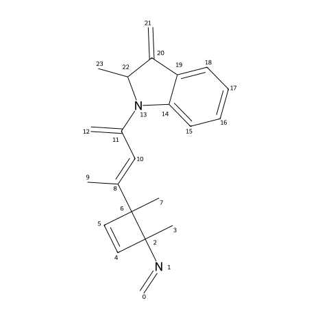 C=NC1(C)C=CC1(C)/C(C)=C/C(=C)N1c2ccccc2C(=C)C1C